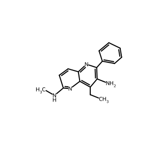 CCc1c(N)c(-c2ccccc2)nc2ccc(NC)nc12